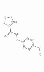 O=C(NCc1ccc(CF)cc1)[C@H]1CCCN1